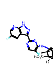 O=C(O)[C@@H]1C2CCC(CC2)[C@H]1Nc1nc(-c2n[nH]c3ncc(F)cc23)ncc1F